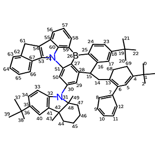 CC(C)(C)C1=CC(c2ccccc2)=C(CC2c3cc(C(C)(C)C)ccc3B3c4c2cc(N2c5ccc(C(C)(C)C)cc5C5(C)CCCCC25C)cc4-n2c4c(c5cccc3c52)Cc2ccccc2-4)CC1